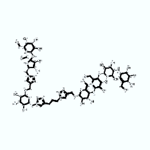 CC1O[C@H](O[C@@H]2C(CO)O[C@H](O[C@@H]3C(CO)O[C@@H](OCc4cn(CCCc5cn(C[C@H]6O[C@H](OCc7cn(C[C@H]8O[C@@](CCl)(O[C@H]9O[C@H](CO)[C@H](Cl)[C@H](O)[C@H]9O)[C@@H](O)[C@@H]8O)nn7)[C@@H](O)[C@@H](O)[C@@H]6O)nn5)nn4)C(O)[C@H]3O)C(O)[C@H]2O)C(O)[C@@H](O)[C@@H]1N[C@H]1C=C(CO)[C@@H](O)[C@H](O)[C@H]1O